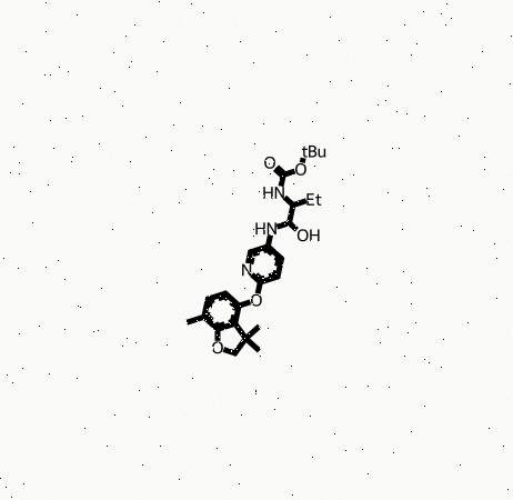 CCC(NC(=O)OC(C)(C)C)C(O)Nc1ccc(Oc2ccc(C)c3c2C(C)(C)CO3)nc1